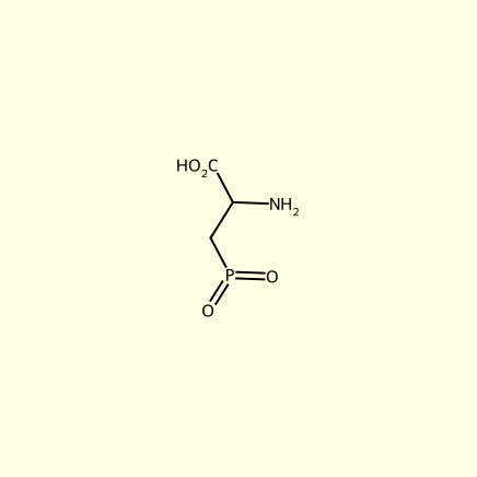 NC(CP(=O)=O)C(=O)O